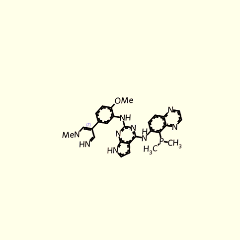 CN/C=C(\C=N)c1ccc(OC)c(Nc2nc(Nc3ccc4nccnc4c3P(C)C)c3cc[nH]c3n2)c1